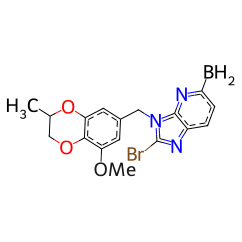 Bc1ccc2nc(Br)n(Cc3cc(OC)c4c(c3)OC(C)CO4)c2n1